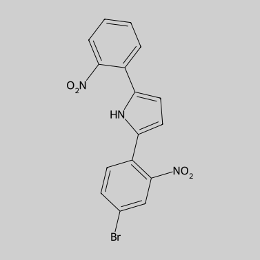 O=[N+]([O-])c1ccccc1-c1ccc(-c2ccc(Br)cc2[N+](=O)[O-])[nH]1